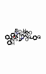 C=C/C=C/C1=C(C(=O)OCc2ccc(OC)cc2)N2C(=O)C[C@@H]2SC1NC(=O)/C(=N\OC)c1csc(NC(c2ccccc2)(c2ccccc2)c2ccccc2)n1